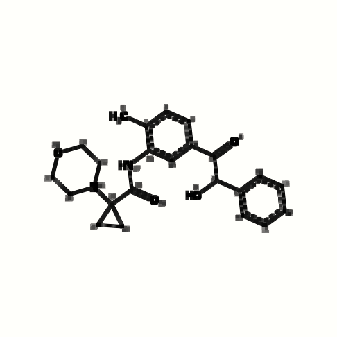 Cc1ccc(C(=O)C(O)c2ccccc2)cc1NC(=O)C1(N2CCOCC2)CC1